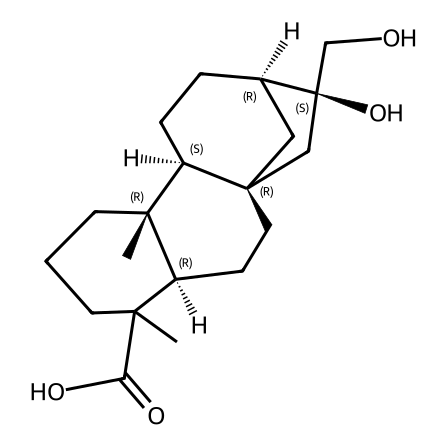 CC1(C(=O)O)CCC[C@@]2(C)[C@H]1CC[C@]13C[C@@H](CC[C@@H]12)[C@](O)(CO)C3